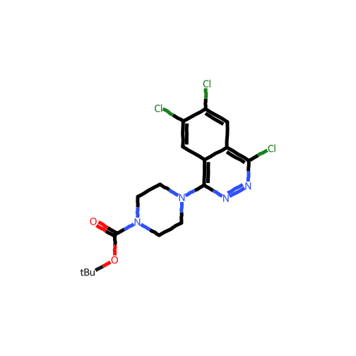 CC(C)(C)OC(=O)N1CCN(c2nnc(Cl)c3cc(Cl)c(Cl)cc23)CC1